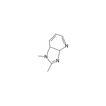 CC1=NC2N=CC=CC2N1C